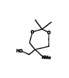 CNC1(CO)COC(C)(C)OC1